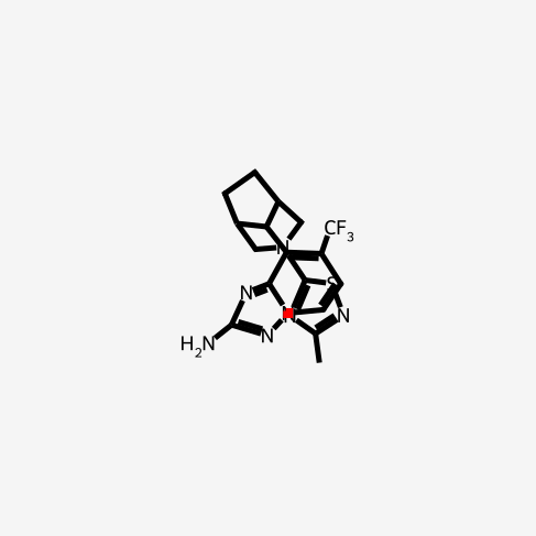 Cc1nsc(N2CC3CCC(C2)C3c2c(C(F)(F)F)ccn3nc(N)nc23)n1